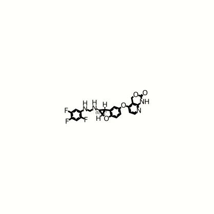 O=C1Nc2nccc(Oc3ccc4c(c3)[C@H]3[C@H](NCNc5cc(F)c(F)cc5F)[C@H]3O4)c2CO1